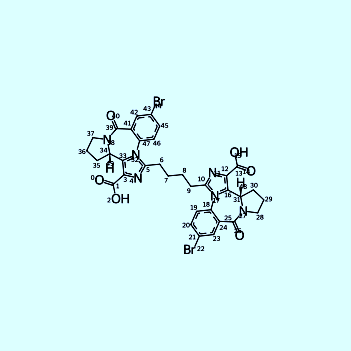 O=C(O)c1nc(CCCCc2nc(C(=O)O)c3n2-c2ccc(Br)cc2C(=O)N2CCC[C@@H]32)n2c1[C@@H]1CCCN1C(=O)c1cc(Br)ccc1-2